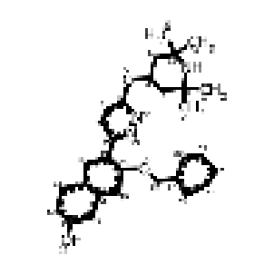 CC1(C)CC(Oc2ccc(-c3cc4ccc(O)cc4cc3OCc3ccccc3)nn2)CC(C)(C)N1